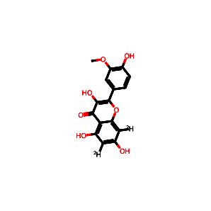 [2H]c1c(O)c([2H])c2oc(-c3ccc(O)c(OC)c3)c(O)c(=O)c2c1O